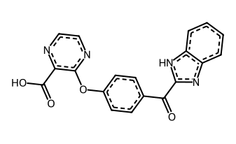 O=C(c1ccc(Oc2nccnc2C(=O)O)cc1)c1nc2ccccc2[nH]1